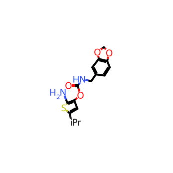 CC(C)c1cc(OC(=O)NCc2ccc3c(c2)OCO3)c(N)s1